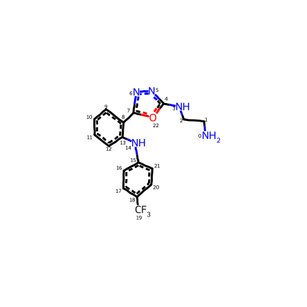 NCCNc1nnc(-c2ccccc2Nc2ccc(C(F)(F)F)cc2)o1